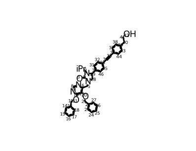 CC(C)N1C(=O)N(Cc2ncnc(OCc3ccccc3)c2OCc2ccccc2)CC1c1ccc(C#Cc2ccc(CCO)cc2)cc1